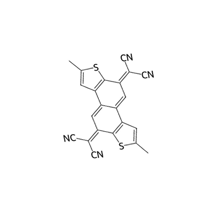 Cc1cc2c(s1)c(=C(C#N)C#N)cc1c3cc(C)sc3c(=C(C#N)C#N)cc21